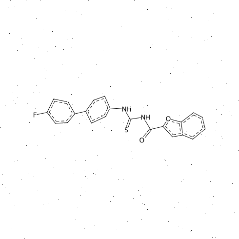 O=C(NC(=S)Nc1ccc(-c2ccc(F)cc2)cc1)c1cc2ccccc2o1